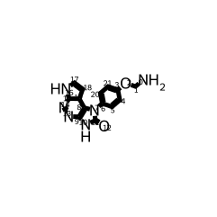 NCOc1ccc(-n2c3c([nH]c2=O)N=NC2NC=CC32)cc1